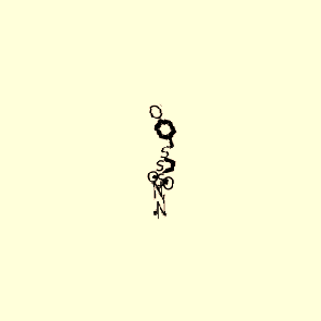 COc1ccc(CSc2ccc(S(=O)(=O)N=CN(C)C)s2)cc1